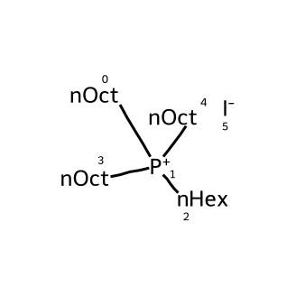 CCCCCCCC[P+](CCCCCC)(CCCCCCCC)CCCCCCCC.[I-]